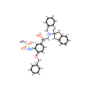 CCCS(=O)(=O)Nc1cc([C@@H](O)CN(Cc2ccccc2)C2(C)Cc3ccccc3C2)ccc1OCc1ccccc1